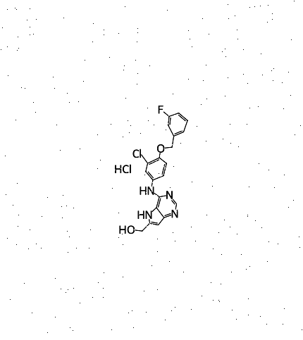 Cl.OCc1cc2ncnc(Nc3ccc(OCc4cccc(F)c4)c(Cl)c3)c2[nH]1